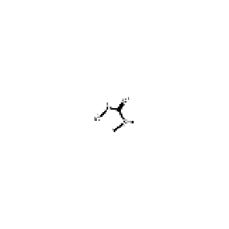 CCOC(=O)[SiH](C)C